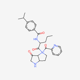 CCCC(NC(=O)c1ccc(C(C)C)cc1)C(=O)[N+]1(C(=O)c2ccccn2)CCC2NCC(=O)C21